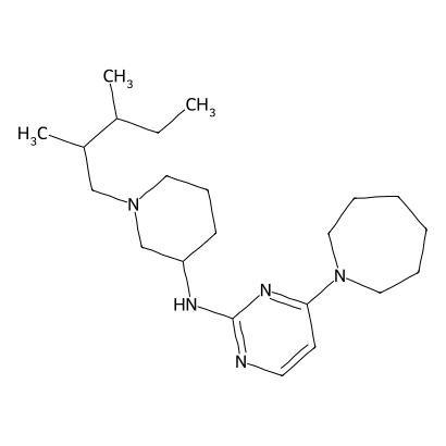 CCC(C)C(C)CN1CCCC(Nc2nccc(N3CCCCCC3)n2)C1